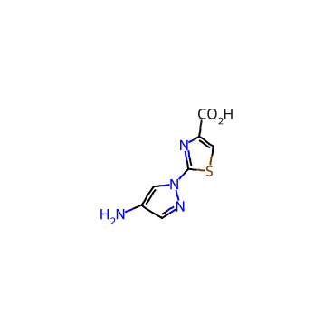 Nc1cnn(-c2nc(C(=O)O)cs2)c1